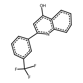 Oc1cc(-c2cccc(C(F)(F)F)c2)nc2ccccc12